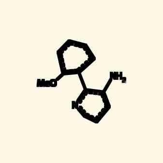 COc1ccccc1-c1ncccc1N